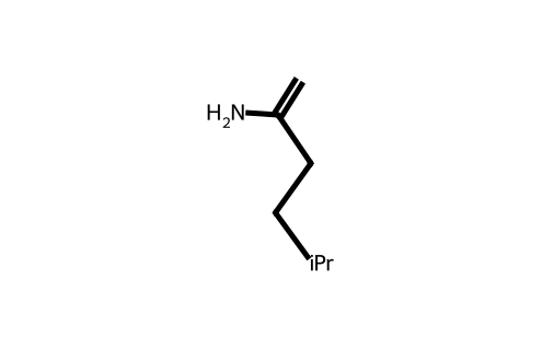 C=C(N)CCC(C)C